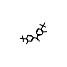 Cc1cc(C(=O)c2ccc(C(C)(C)C)c(C)c2)ccc1C(C)(C)C